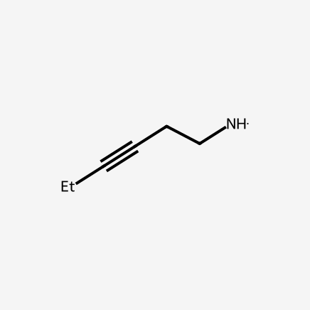 CCC#CCC[NH]